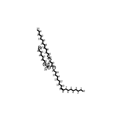 CCCCCCCC/C=C\CCCCCCCCOC(CCSSCCCCCCCCCCCC)O[Si](C)(C)OCCCCCCBr